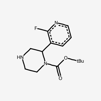 CC(C)(C)OC(=O)N1CCNCC1c1cccnc1F